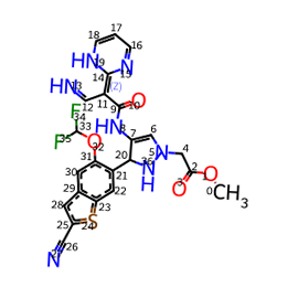 COC(=O)CN1C=C(NC(=O)/C(C=N)=C2\N=CC=CN2)C(c2cc3sc(C#N)cc3cc2OC(F)F)N1